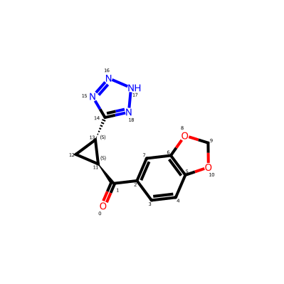 O=C(c1ccc2c(c1)OCO2)[C@H]1C[C@@H]1c1nn[nH]n1